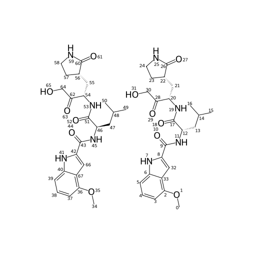 COc1cccc2[nH]c(C(=O)N[C@@H](CC(C)C)C(=O)N[C@@H](C[C@@H]3CCNC3=O)C(=O)CO)cc12.COc1cccc2[nH]c(C(=O)N[C@H](CC(C)C)C(=O)N[C@@H](C[C@@H]3CCNC3=O)C(=O)CO)cc12